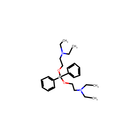 CCN(CC)CCO[Si](OCCN(CC)CC)(c1ccccc1)c1ccccc1